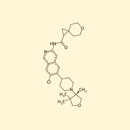 CC1(C)COC[C@@]1(C)N1CCC(c2cc3cc(NC(=O)C4CC45CCOCC5)ncc3cc2Cl)CC1